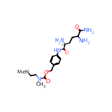 CNCCN(C)C(=O)OCc1ccc(NC(=O)[C@@H](N)CCC(N)C(N)=O)cc1